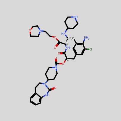 Nc1c(Cl)cc(C[C@@H](OC(=O)N2CCC(N3CCc4ccccc4NC3=O)CC2)C(=O)N[C@@H](CNC2CCNCC2)C(=O)OCCN2CCOCC2)cc1C(F)(F)F